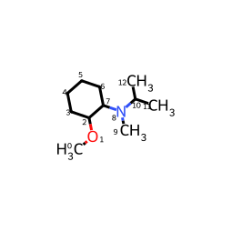 COC1CCCCC1N(C)C(C)C